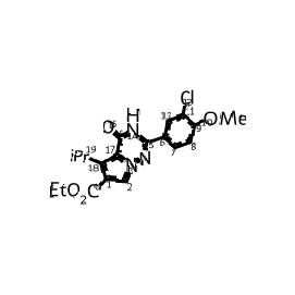 CCOC(=O)c1cn2nc(-c3ccc(OC)c(Cl)c3)[nH]c(=O)c2c1C(C)C